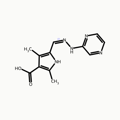 Cc1[nH]c(/C=N\Nc2cnccn2)c(C)c1C(=O)O